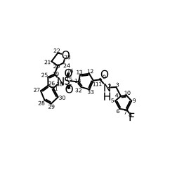 O=C(NCc1ccc(F)cc1)c1ccc(S(=O)(=O)n2c(C3CCOC3)cc3ccccc32)cc1